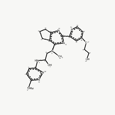 COc1ccc(NC(O)CN(C)c2nc(-c3cc(OCCO)ccn3)nc3c2CCC3)nn1